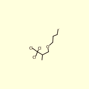 [CH2]CCCOCC(C)C(Cl)(Cl)Cl